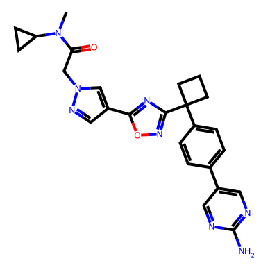 CN(C(=O)Cn1cc(-c2nc(C3(c4ccc(-c5cnc(N)nc5)cc4)CCC3)no2)cn1)C1CC1